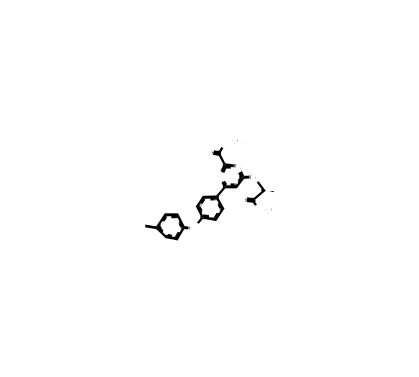 COC(=O)c1nc(N[C@@H](C)C(=O)OC)cc(-c2ccc(Oc3ccc(F)cc3)cc2)n1